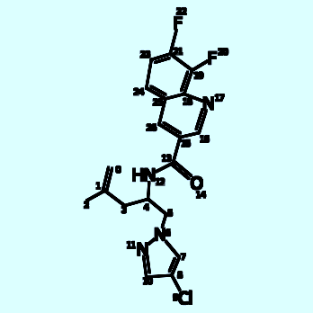 C=C(C)CC(Cn1cc(Cl)cn1)NC(=O)c1cnc2c(F)c(F)ccc2c1